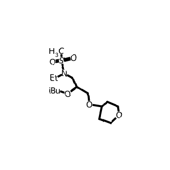 CCC(C)OC(COC1CCOCC1)CN(CC)S(C)(=O)=O